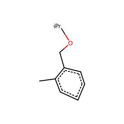 C[C](C)OCc1ccccc1C